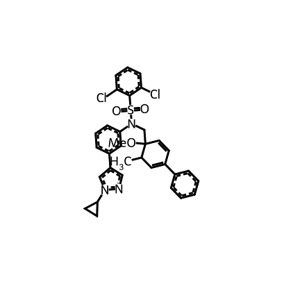 COC1(CN(c2cccc(-c3cnn(C4CC4)c3)c2)S(=O)(=O)c2c(Cl)cccc2Cl)C=CC(c2ccccc2)=CC1C